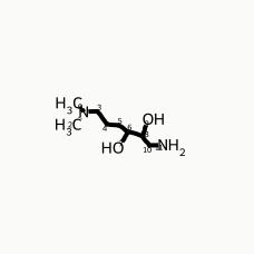 CN(C)CCCC(O)C(O)CN